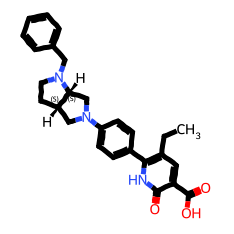 CCc1cc(C(=O)O)c(=O)[nH]c1-c1ccc(N2C[C@@H]3CCN(Cc4ccccc4)[C@@H]3C2)cc1